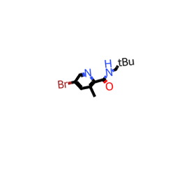 Cc1cc(Br)cnc1C(=O)NCC(C)(C)C